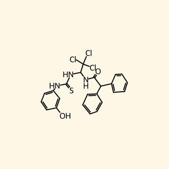 O=C(NC(NC(=S)Nc1cccc(O)c1)C(Cl)(Cl)Cl)C(c1ccccc1)c1ccccc1